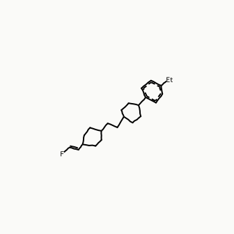 CCc1ccc(C2CCC(CCC3CCC(/C=C/F)CC3)CC2)cc1